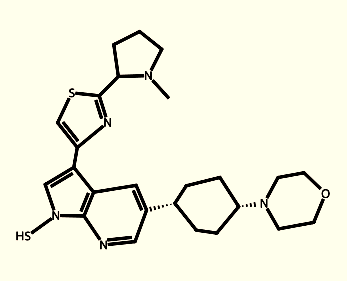 CN1CCCC1c1nc(-c2cn(S)c3ncc([C@H]4CC[C@@H](N5CCOCC5)CC4)cc23)cs1